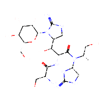 N=C1NCC(N(C(=O)[C@H](NC(=O)[C@@H](N)CO)C(O)C2CNC(=N)N2[C@H]2O[C@H](CO)[C@@H](O)[C@H](O)[C@@H]2O)[C@H]([C]=O)CO)N1